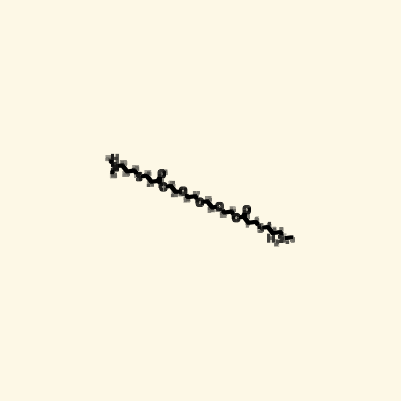 C[SiH2]CCCSCCC(=O)OCCOCCOCCOCCOC(=O)CCSCCC[SiH](C)C